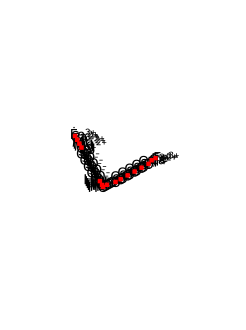 O=[Si]([O-])[O-].O=[Si]([O-])[O-].O=[Si]([O-])[O-].O=[Si]([O-])[O-].O=[Si]([O-])[O-].O=[Si]([O-])[O-].O=[Si]([O-])[O-].O=[Si]([O-])[O-].O=[Si]([O-])[O-].O=[Si]([O-])[O-].[Al+3].[Al+3].[Al+3].[Ca+2].[Ca+2].[Ca+2].[Fe+3].[Fe+3].[Fe+3].[Mg+2].[Mg+2].[Mg+2].[OH-].[OH-].[OH-].[OH-].[OH-].[OH-].[OH-].[OH-].[OH-].[OH-]